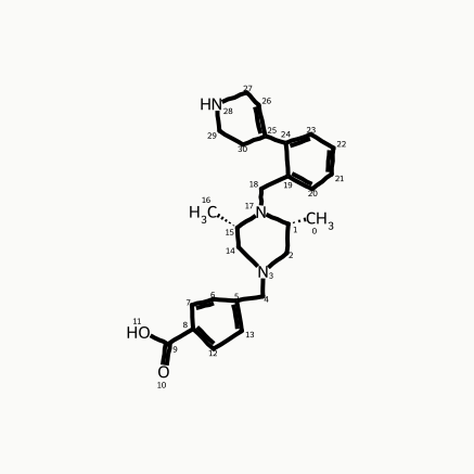 C[C@@H]1CN(Cc2ccc(C(=O)O)cc2)C[C@H](C)N1Cc1ccccc1C1=CCNCC1